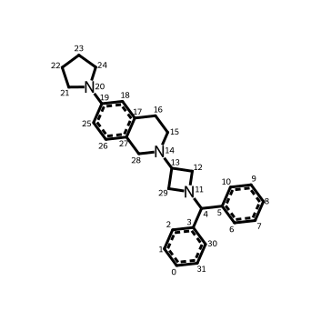 c1ccc(C(c2ccccc2)N2CC(N3CCc4cc(N5CCCC5)ccc4C3)C2)cc1